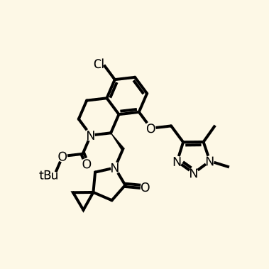 Cc1c(COc2ccc(Cl)c3c2[C@@H](CN2CC4(CC4)CC2=O)N(C(=O)OC(C)(C)C)CC3)nnn1C